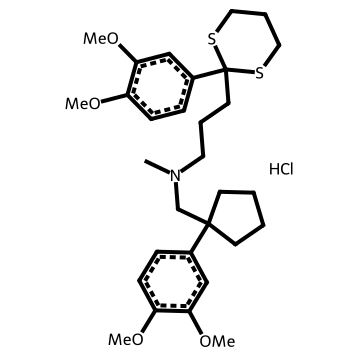 COc1ccc(C2(CN(C)CCCC3(c4ccc(OC)c(OC)c4)SCCCS3)CCCC2)cc1OC.Cl